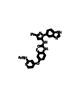 CC(=O)Nc1cc(Oc2ccc(NC(=O)Nc3cc(C(C)C)nn3-c3ccc4[nH]cnc4c3)c(F)c2)ccn1